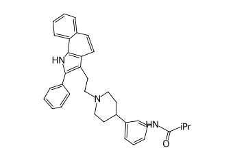 CC(C)C(=O)Nc1cccc(C2CCN(CCc3c(-c4ccccc4)[nH]c4c3ccc3ccccc34)CC2)c1